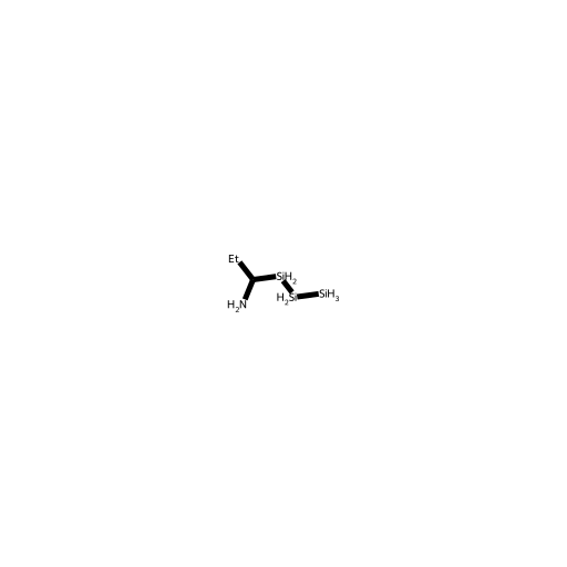 CCC(N)[SiH2][SiH2][SiH3]